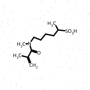 C=C(C)C(=O)N(C)CCCCC(C)S(=O)(=O)O